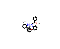 CC(C)c1cccc(C(C)C)c1N=C(c1ccccc1)N(CC(=O)c1ccccc1)c1c(C(C)C)cccc1C(C)C